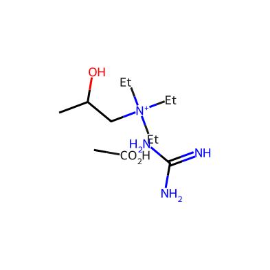 CC(=O)O.CC[N+](CC)(CC)CC(C)O.N=C(N)N